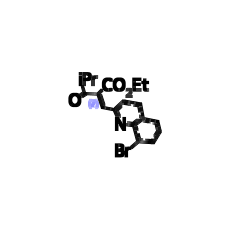 CCOC(=O)/C(=C\c1ccc2cccc(Br)c2n1)C(=O)C(C)C